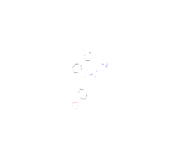 C=C1NN=C2C(c3ccc(Cl)cc3)=C(c3ccc(Cl)cc3)C(OCc3ccc(-c4ccno4)cc3)=NN12